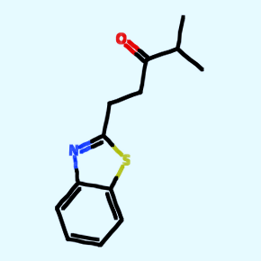 CC(C)C(=O)CCc1nc2ccccc2s1